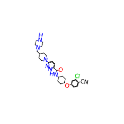 N#Cc1ccc(O[C@H]2CC[C@H](NC(=O)c3ccc(N4CCC(CN5CCNCC5)CC4)nn3)CC2)cc1Cl